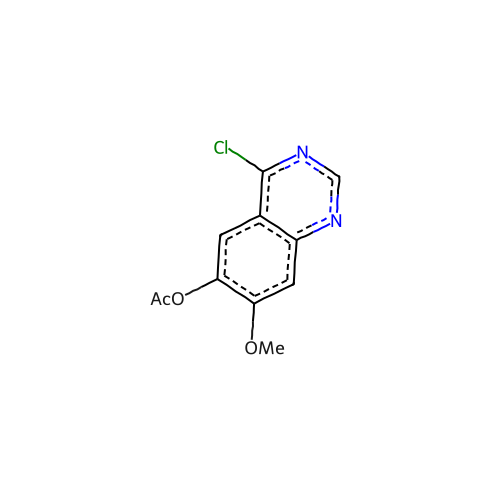 COc1cc2ncnc(Cl)c2cc1OC(C)=O